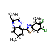 COCc1cnc2c(-c3nc4c(OC)c(F)c(Cl)cc4s3)cc(C)cc2n1